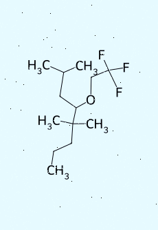 CCCC(C)(C)C(CC(C)C)OCC(F)(F)F